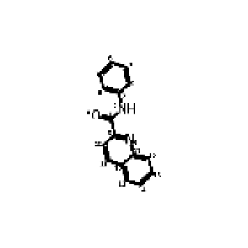 O=C(Nc1[c]cccc1)c1ccc2ccccc2n1